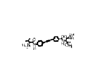 CC(C)[C@H](N)C(=O)Nc1ccc(C#Cc2ccc(C(=O)N[C@H](C(=O)NO)[C@@H](C)O)cc2)cc1